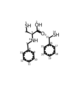 O=C(O)[C@H](CS)NCc1ccccc1.SCc1ccccc1